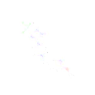 COc1ccc(CN2CCN(c3nc(C(F)(F)F)n[nH]3)CC2)cn1